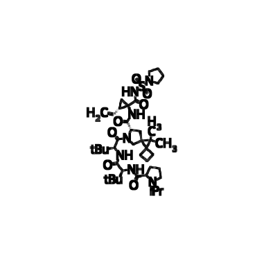 C=C[C@@H]1C[C@]1(NC(=O)[C@@H]1C[C@@]2(CN1C(=O)[C@@H](NC(=O)[C@@H](NC(=O)[C@H]1CCCN1C(C)C)C(C)(C)C)C(C)(C)C)C(C)(C)C21CCC1)C(=O)NS(=O)(=O)N1CCCC1